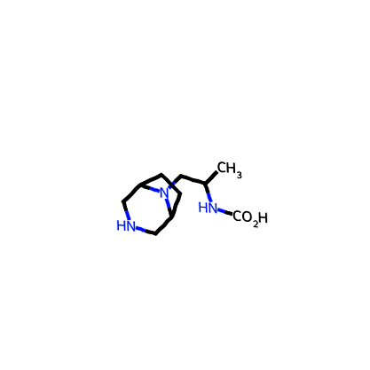 CC(CN1C2CCC1CNC2)NC(=O)O